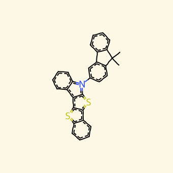 CC1(C)c2ccccc2-c2cc(-n3c4ccccc4c4c5sc6ccccc6c5sc43)ccc21